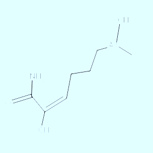 CC(=CCCC[As](C)C)C(N)=O